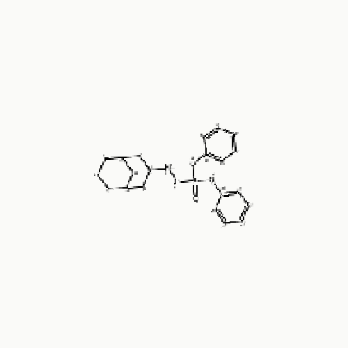 O=P(ONC1CC2CCCC(C2)C1)(Oc1ccccc1)Oc1ccccc1